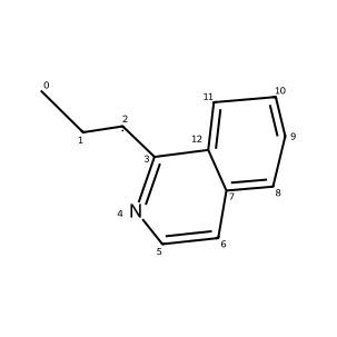 CC[CH]c1nccc2ccccc12